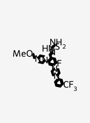 COCCN1CCN(c2cc(N3CCN(c4cccc(C(F)(F)F)c4)CC3)c(F)cc2C=NNC(N)=S)CC1